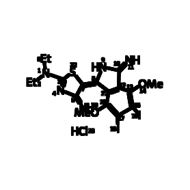 CCN(CC)C1=NC(=N)C(=C2NC(=N)c3c(OC)c(I)c(I)c(OC)c32)S1.Cl